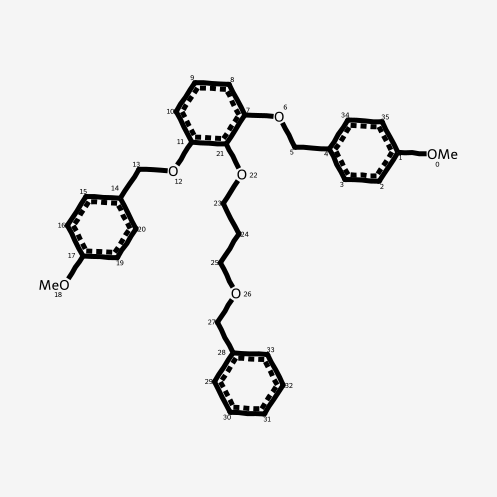 COc1ccc(COc2cccc(OCc3ccc(OC)cc3)c2OCCCOCc2ccccc2)cc1